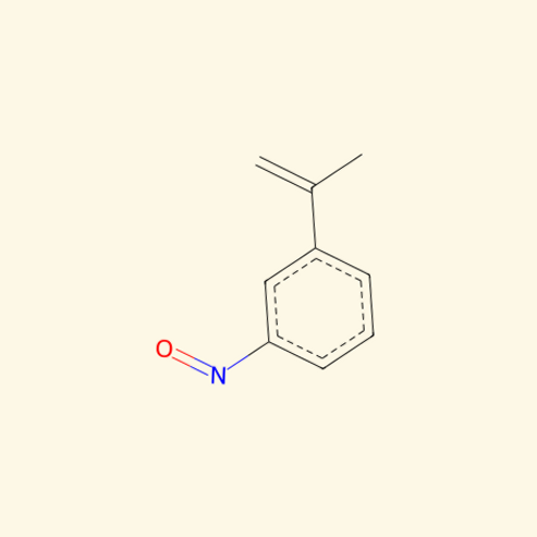 C=C(C)c1cccc(N=O)c1